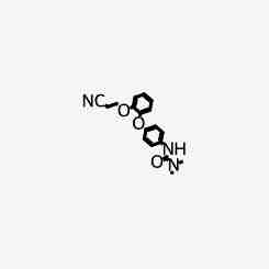 CN(C)C(=O)Nc1ccc(Oc2ccccc2OCCC#N)cc1